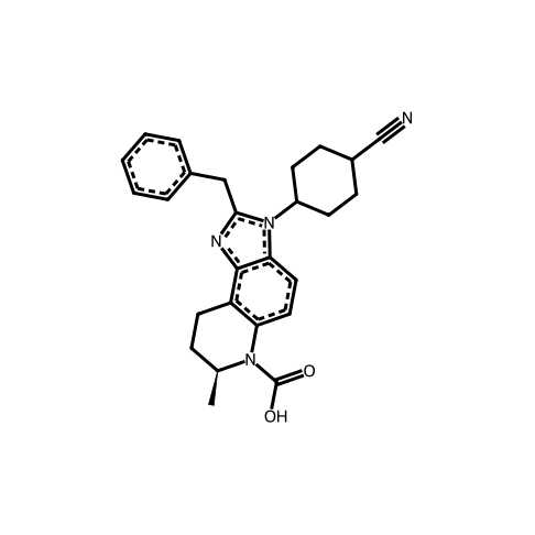 C[C@H]1CCc2c(ccc3c2nc(Cc2ccccc2)n3C2CCC(C#N)CC2)N1C(=O)O